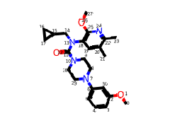 COc1cccc(N2CCN(C(=O)N(CC3CC3)c3cc(C)c(C)nc3OC)CC2)c1